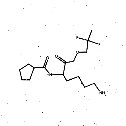 CC(F)(F)COCC(=O)C(CCCCN)NC(=O)C1CCCC1